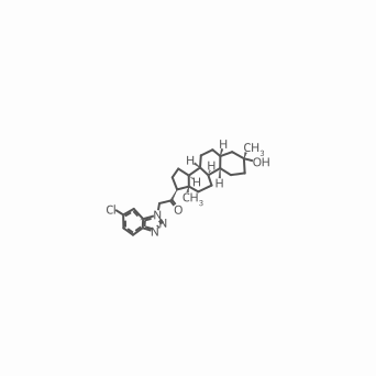 C[C@@]1(O)CC[C@H]2[C@H](CC[C@@H]3[C@@H]2CC[C@]2(C)[C@@H](C(=O)Cn4nnc5ccc(Cl)cc54)CC[C@@H]32)C1